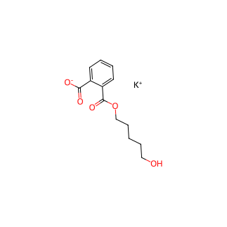 O=C([O-])c1ccccc1C(=O)OCCCCCO.[K+]